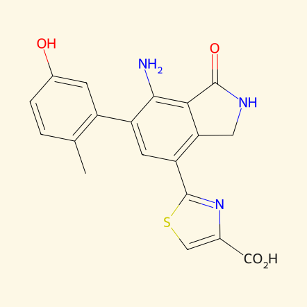 Cc1ccc(O)cc1-c1cc(-c2nc(C(=O)O)cs2)c2c(c1N)C(=O)NC2